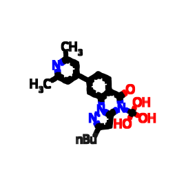 CCCCc1cc2n(C(O)(O)O)c(=O)c3ccc(-c4cc(C)nc(C)c4)cc3n2n1